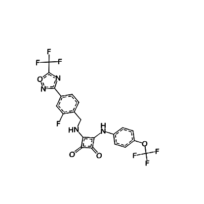 O=c1c(NCc2ccc(-c3noc(C(F)(F)F)n3)cc2F)c(Nc2ccc(OC(F)(F)F)cc2)c1=O